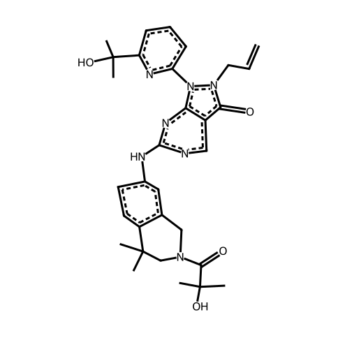 C=CCn1c(=O)c2cnc(Nc3ccc4c(c3)CN(C(=O)C(C)(C)O)CC4(C)C)nc2n1-c1cccc(C(C)(C)O)n1